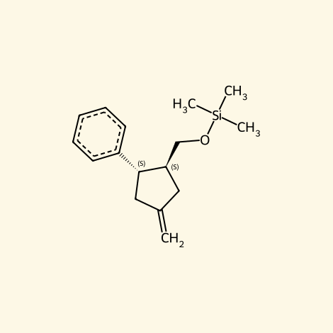 C=C1C[C@H](CO[Si](C)(C)C)[C@@H](c2ccccc2)C1